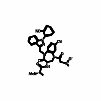 CN[C@@H](C)C(=O)N[C@H]1CN(C(=O)C[S+](C)[O-])c2cc(C#N)ccc2N(Cc2nn(-c3ccccc3C#N)c3ccccc23)C1=O